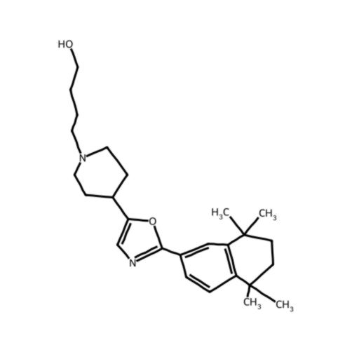 CC1(C)CCC(C)(C)c2cc(-c3ncc(C4CCN(CCCCO)CC4)o3)ccc21